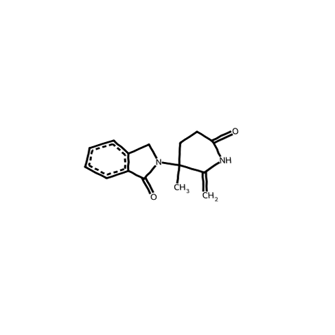 C=C1NC(=O)CCC1(C)N1Cc2ccccc2C1=O